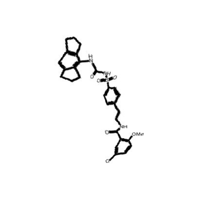 COc1ccc(Cl)cc1C(=O)NCCc1ccc(S(=O)(=O)NC(=O)Nc2c3c(cc4c2CCC4)CCC3)cc1